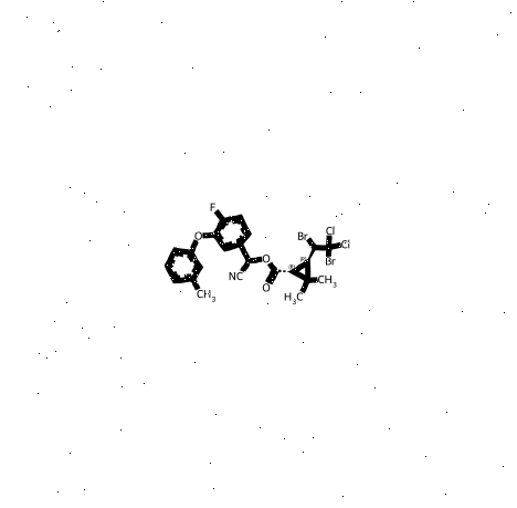 Cc1cccc(Oc2cc(C(C#N)OC(=O)[C@@H]3[C@@H](C(Br)C(Cl)(Cl)Br)C3(C)C)ccc2F)c1